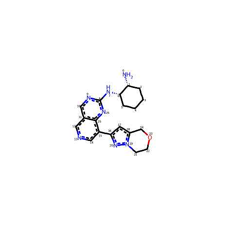 N[C@@H]1CCCC[C@@H]1Nc1ncc2cncc(-c3cc4n(n3)CCOC4)c2n1